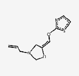 C=CCN1CO/C(=C/Oc2nccs2)C1